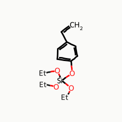 C=Cc1ccc(O[Si](OCC)(OCC)OCC)cc1